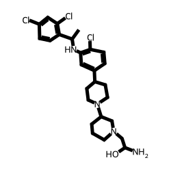 CC(Nc1cc(C2CCN(C3CCCN(CC(N)O)C3)CC2)ccc1Cl)c1ccc(Cl)cc1Cl